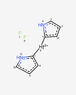 [F-].[F-].c1c[nH][c]([Hf+2][c]2ccc[nH]2)c1